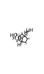 CN1[C@@H]2CC[C@H]1C[C@@H](O)C2.[LiH]